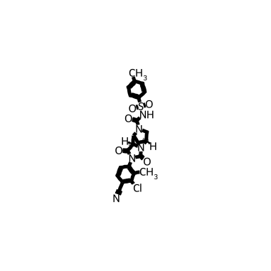 Cc1ccc(S(=O)(=O)NC(=O)N2C[C@H]3CC2[C@H]2C(=O)N(c4ccc(C#N)c(Cl)c4C)C(=O)N32)cc1